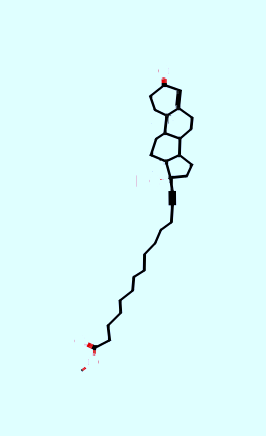 COC(=O)CCCCCCCCCCCC#C[C@]1(O)CCC2C3CCC4=CC(=O)CC[C@]4(C)C3CC[C@@]21C